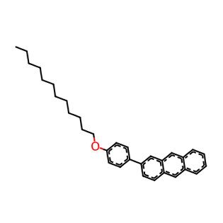 CCCCCCCCCCCCOc1ccc(-c2ccc3cc4ccccc4cc3c2)cc1